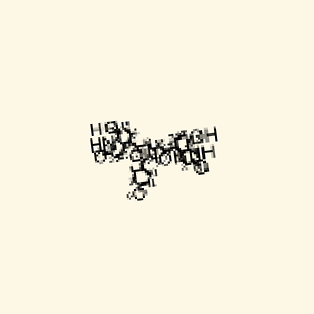 COc1ccc(C[C@H](C)N(C[C@@H](O)c2ccc(O)c3[nH]c(=O)ccc23)C[C@@H](O)c2ccc(O)c3[nH]c(=O)ccc23)cc1